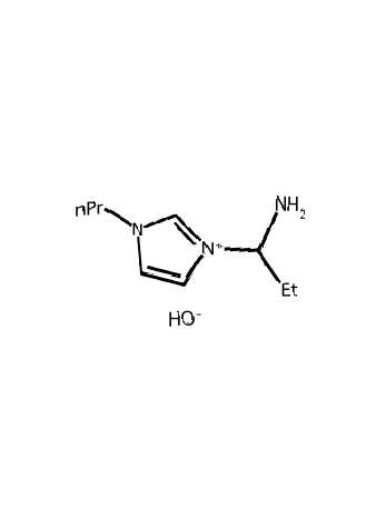 CCCn1cc[n+](C(N)CC)c1.[OH-]